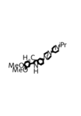 COc1ccc(-c2[nH]c3ccc(N4CCN(C5CCN(C(C)C)CC5)CC4)cc3c2C)cc1OC